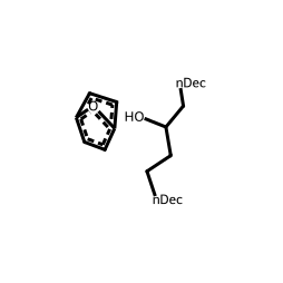 CCCCCCCCCCCCC(O)CCCCCCCCCCC.c1cc2ccc1o2